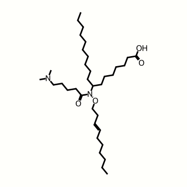 CCCCCCC=CCCON(C(=O)CCCCN(C)C)C(CCCCCCCCCC)CCCCCCC(=O)O